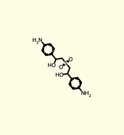 Nc1ccc(C(O)CS(=O)(=O)CC(O)c2ccc(N)cc2)cc1